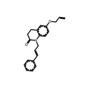 C=CCOc1ccc2c(c1)CCC(=O)N2C/C=C/c1ccccc1